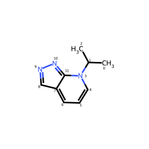 CC(C)n1cccc2cnnc1-2